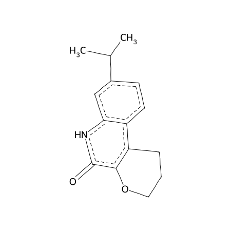 CC(C)c1ccc2c3c(c(=O)[nH]c2c1)OCCC3